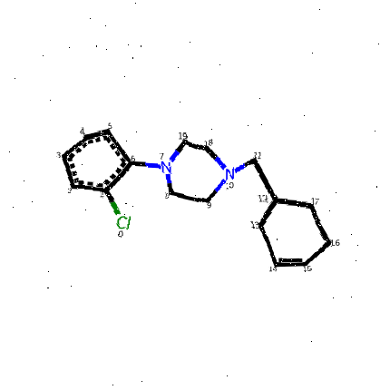 Clc1ccccc1N1CCN(CC2CC=CCC2)CC1